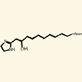 CCCCCCCCCCCCCCCCCC(O)CC1=NCCN1